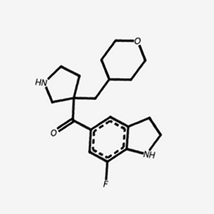 O=C(c1cc(F)c2c(c1)CCN2)C1(CC2CCOCC2)CCNC1